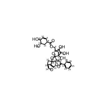 CC12CC(COC(=O)C3C=CC(O)C(O)C3)(O[C@@]1(COC(=O)c1ccccc1)O[C@@]13COc4occ(c41)C3)[C@@H](O)[C@@H]2O